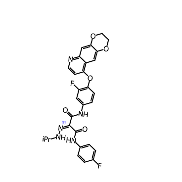 CC(C)N/N=C(\C(=O)Nc1ccc(F)cc1)C(=O)Nc1ccc(Oc2ccnc3cc4c(cc23)OCCO4)c(F)c1